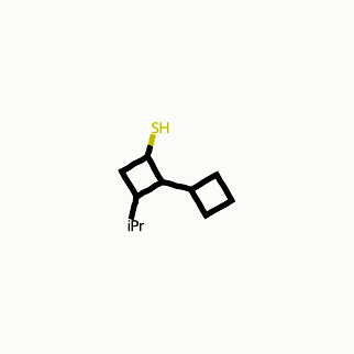 CC(C)C1CC(S)C1C1CCC1